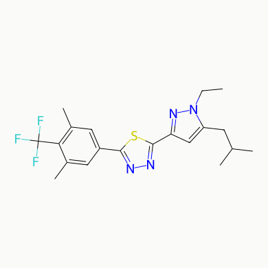 CCn1nc(-c2nnc(-c3cc(C)c(C(F)(F)F)c(C)c3)s2)cc1CC(C)C